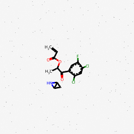 C1C2NC12.C=CC(=O)OC(C)C(=O)c1cc(F)c(Cl)cc1Cl